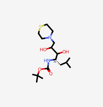 CC(C)C[C@H](NC(=O)OC(C)(C)C)C(O)C(O)CN1CCSCC1